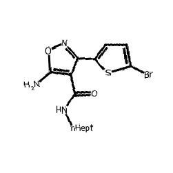 CCCCCCCNC(=O)c1c(-c2ccc(Br)s2)noc1N